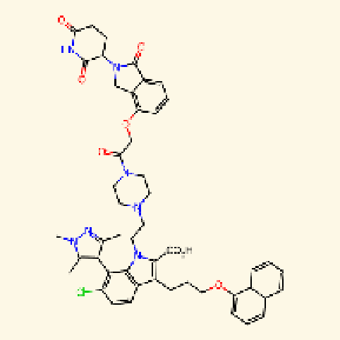 Cc1nn(C)c(C)c1-c1c(Cl)ccc2c(CCCOC3=CC=CC4C=CC=CC34)c(C(=O)O)n(CCN3CCN(C(=O)COc4cccc5c4CN(C4CCC(=O)NC4=O)C5=O)CC3)c12